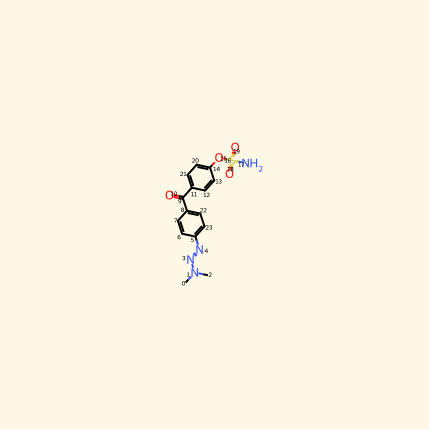 CN(C)N=Nc1ccc(C(=O)c2ccc(OS(N)(=O)=O)cc2)cc1